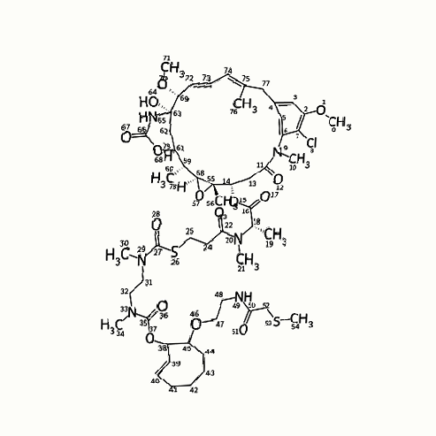 COc1cc2cc(c1Cl)N(C)C(=O)C[C@H](OC(=O)[C@H](C)N(C)C(=O)CCSC(=O)N(C)CCN(C)C(=O)OC1/C=C/CCCCC1OCCNC(=O)CSC)[C@]1(C)O[C@H]1[C@H](C)[C@@H]1C[C@@](O)(NC(=O)O1)[C@H](OC)/C=C/C=C(\C)C2